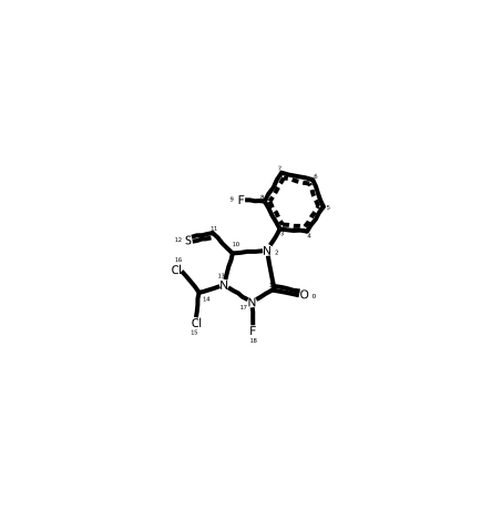 O=C1N(c2ccccc2F)C(C=S)N(C(Cl)Cl)N1F